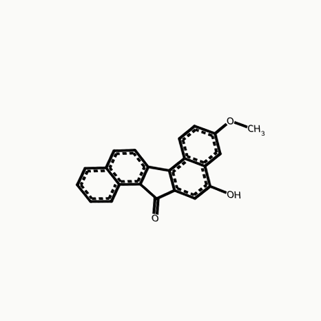 COc1ccc2c3c(cc(O)c2c1)C(=O)c1c-3ccc2ccccc12